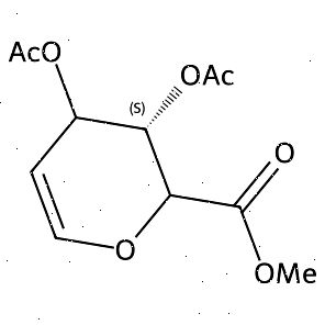 COC(=O)C1OC=CC(OC(C)=O)[C@@H]1OC(C)=O